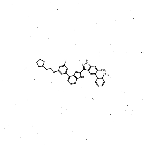 Cc1ccncc1-c1cc2c(-c3cc4c(-c5cc(F)cc(OCCN6CCCC6)c5)nccc4[nH]3)n[nH]c2cc1C